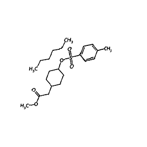 CCCCCC.COC(=O)CC1CCC(OS(=O)(=O)c2ccc(C)cc2)CC1